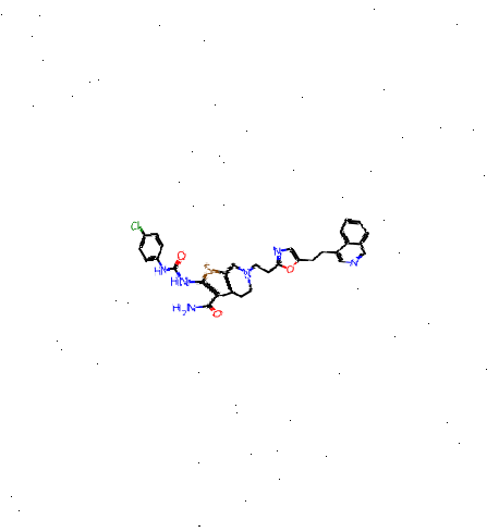 NC(=O)c1c(NC(=O)Nc2ccc(Cl)cc2)sc2c1CCN(CCc1ncc(CCc3cncc4ccccc34)o1)C2